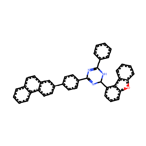 c1ccc(C2=NC(c3ccc(-c4ccc5c(ccc6ccccc65)c4)cc3)=NC(c3cccc4oc5ccccc5c34)N2)cc1